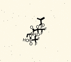 C=C(C)C(=O)OC(OCC(F)(F)S(=O)(=O)O)(C(=O)NCC)C(F)(F)F